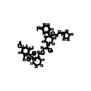 COc1cc(C)c(S(=O)(=O)N2CCCCC2COCC(=O)N2CCC(OCCN3CCCC3)(c3cccc(F)c3)CC2)c(C)c1